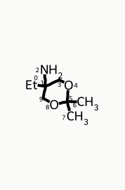 CCC1(N)COC(C)(C)OC1